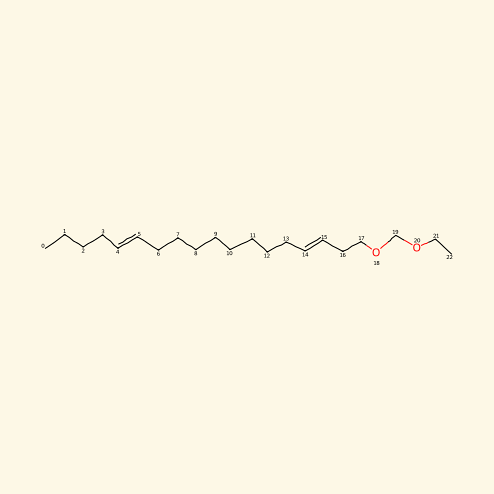 CCCCC=CCCCCCCCCC=CCCOCOCC